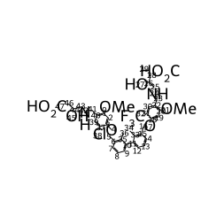 COc1cc(OCc2cccc(-c3cccc(COc4cc(OC)c(CNC[C@@H](O)CC(=O)O)cc4C(F)(F)F)c3C)c2C)c(Cl)cc1CNC[C@@H](O)CC(=O)O